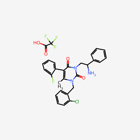 Cc1c(-c2ccccc2F)c(=O)n(CC(N)c2ccccc2)c(=O)n1Cc1ccccc1Cl.O=C(O)C(F)(F)F